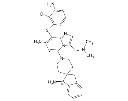 Cc1nc(N2CCC3(CC2)Cc2ccccc2[C@H]3N)n2c(CN(C)C)cnc2c1Sc1ccnc(N)c1Cl